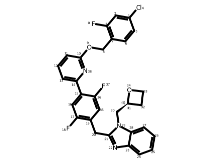 Fc1cc(Cl)ccc1COc1cccc(-c2cc(F)c(Cc3nc4ccccc4n3C[C@@H]3CCO3)cc2F)n1